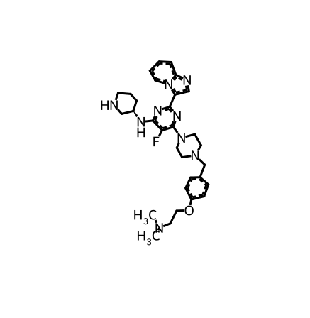 CN(C)CCOc1ccc(CN2CCN(c3nc(-c4cnc5ccccn45)nc(N[C@@H]4CCCNC4)c3F)CC2)cc1